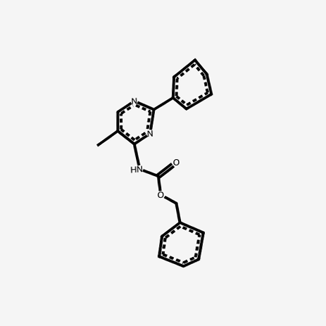 Cc1cnc(-c2ccccc2)nc1NC(=O)OCc1ccccc1